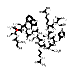 N=C(N)NCCC[C@H](NC(=O)[C@H](CO)NC(=O)[C@H](Cc1c[nH]cn1)NC(=O)[C@H](CC(=O)O)NC(=O)[C@H](CCCNC(=N)N)NC(=O)[C@H](CS)NC(=O)[C@H](Cc1c[nH]c2ccccc12)NC(=O)[C@H](CCCCN)NC(=O)[C@H](CO)NC(=O)[C@H](CO)NC(=O)[C@@H](N)CS)C(=O)N[C@@H](CS)C(N)=O